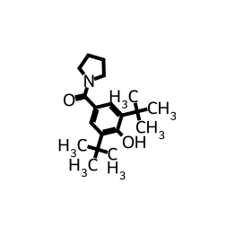 CC(C)(C)c1cc(C(=O)N2CCCC2)cc(C(C)(C)C)c1O